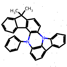 CC1(C)c2ccccc2-c2c1ccc1c2N(c2ccccc2)c2cccc3c4ccccc4n-1c23